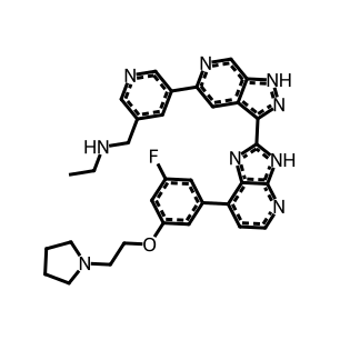 CCNCc1cncc(-c2cc3c(-c4nc5c(-c6cc(F)cc(OCCN7CCCC7)c6)ccnc5[nH]4)n[nH]c3cn2)c1